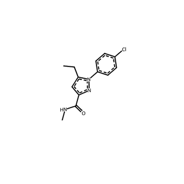 CCc1cc(C(=O)NC)nn1-c1ccc(Cl)cc1